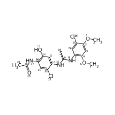 COc1cc(OC)c(NC(=S)Nc2cc(O)c(NC(C)=O)cc2Cl)cc1Cl